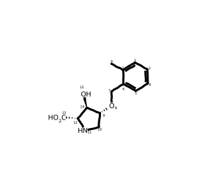 Cc1ccccc1CO[C@@H]1CN[C@H](C(=O)O)[C@H]1O